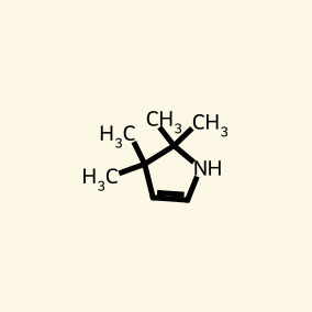 CC1(C)C=CNC1(C)C